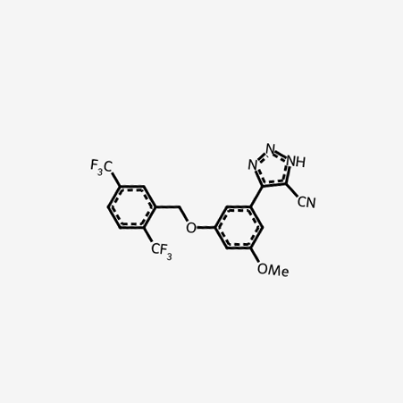 COc1cc(OCc2cc(C(F)(F)F)ccc2C(F)(F)F)cc(-c2nn[nH]c2C#N)c1